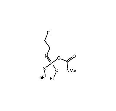 CCCSP(=NCCCl)(OCC)OC(=O)NC